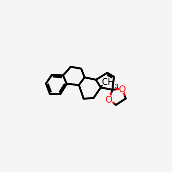 C[C@]12CCC3c4ccccc4CCC3C1C=CC21OCCO1